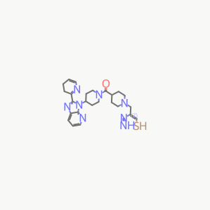 N=N/C(=C\S)CN1CCC(C(=O)N2CCC(n3c(C4=NC=CCC4)nc4cccnc43)CC2)CC1